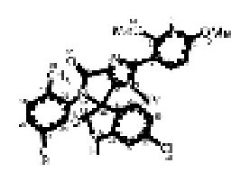 COc1ccc(-c2nc3c(n2C(C)C)C2(C(=O)Nc4cc(Cl)ccc42)N(c2cc(Cl)ccc2C)C3=O)c(OC)n1